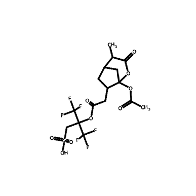 CC(=O)OC12CC(CC1CC(=O)OC(CS(=O)(=O)O)(C(F)(F)F)C(F)(F)F)C(C)C(=O)O2